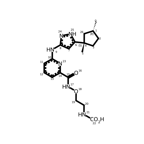 C[C@@H]1CC[C@](C)(c2cc(Nc3cccc(C(=O)NOCCNC(=O)O)n3)n[nH]2)C1